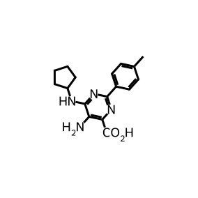 Cc1ccc(-c2nc(NC3CCCC3)c(N)c(C(=O)O)n2)cc1